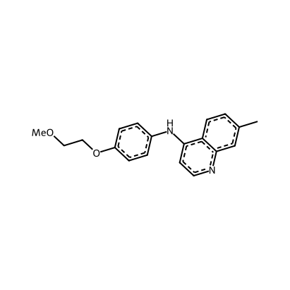 COCCOc1ccc(Nc2ccnc3cc(C)ccc23)cc1